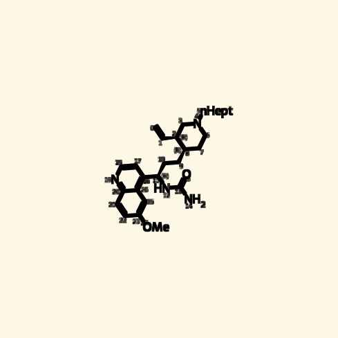 C=C[C@H]1CN(CCCCCCC)CC[C@H]1CC[C@@H](NC(N)=O)c1ccnc2ccc(OC)cc12